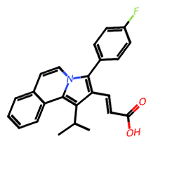 CC(C)c1c(C=CC(=O)O)c(-c2ccc(F)cc2)n2ccc3ccccc3c12